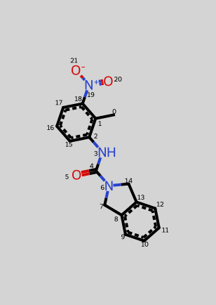 Cc1c(NC(=O)N2Cc3ccccc3C2)cccc1[N+](=O)[O-]